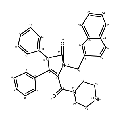 O=C(c1c(-c2ccccc2)n(-c2ccccc2)c(=O)n1Cc1ccc2ccccc2c1)N1CCNCC1